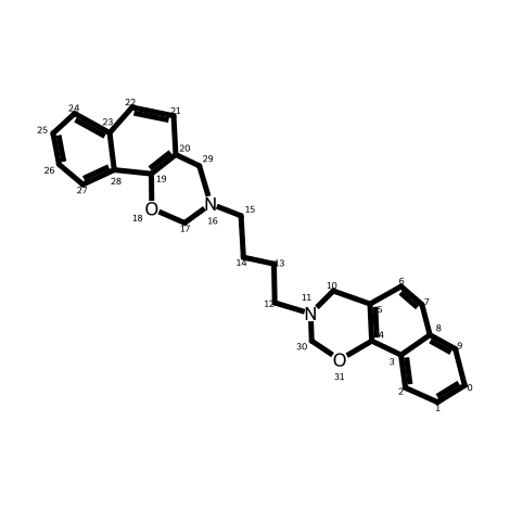 c1ccc2c3c(ccc2c1)CN(CCCCN1COc2c(ccc4ccccc24)C1)CO3